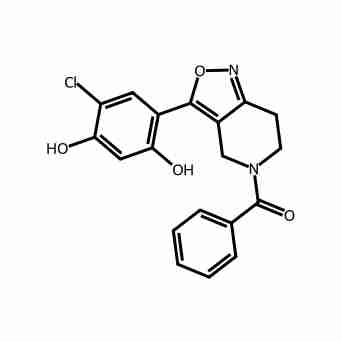 O=C(c1ccccc1)N1CCc2noc(-c3cc(Cl)c(O)cc3O)c2C1